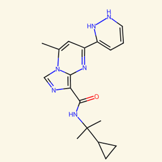 Cc1cc(C2=CC=CNN2)nc2c(C(=O)NC(C)(C)C3CC3)ncn12